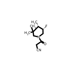 C[C@@H]1[C@H](F)CN(C(=O)CC#N)CC1(C)C